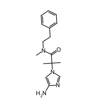 CN(CCc1ccccc1)C(=O)C(C)(C)n1cnc(N)c1